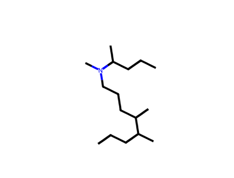 CCCC(C)C(C)CCCN(C)C(C)CCC